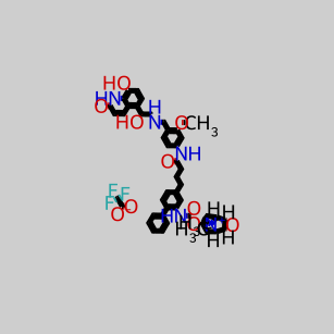 COc1cc(NC(=O)CCCc2ccc(-c3ccccc3)c(NC(=O)O[C@@H]3C[C@@H]4[C@H]5O[C@H]5[C@H](C3)[N+]4(C)C)c2)ccc1CNC[C@H](O)c1ccc(O)c2[nH]c(=O)ccc12.O=C([O-])C(F)(F)F